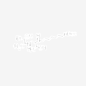 [CH2]C(NCC(NCCCCCCCCCCCCCCCCC)C(O)CC)C(O)CC